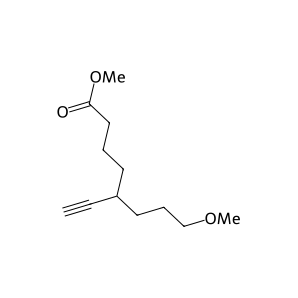 C#CC(CCCOC)CCCC(=O)OC